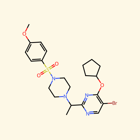 COc1ccc(S(=O)(=O)N2CCN(C(C)c3ncc(Br)c(OC4CCCC4)n3)CC2)cc1